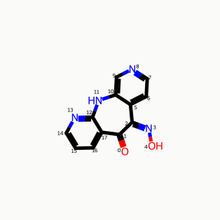 O=c1c(=NO)c2ccncc2[nH]c2ncccc12